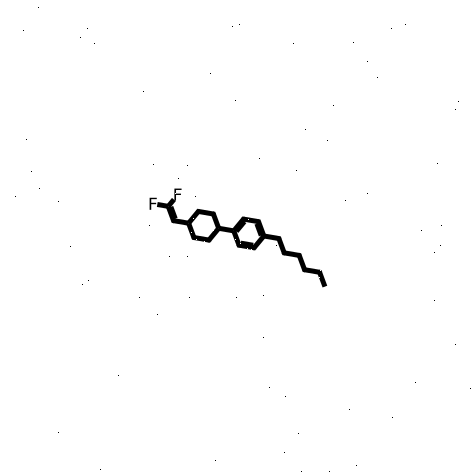 CCCCCCc1ccc(C2CCC(C=C(F)F)CC2)cc1